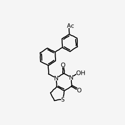 CC(=O)c1cccc(-c2cccc(Cn3c4c(c(=O)n(O)c3=O)SCC4)c2)c1